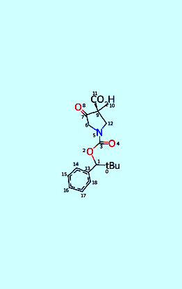 CC(C)(C)C(OC(=O)N1CC(=O)[C@@](C)(C(=O)O)C1)c1ccccc1